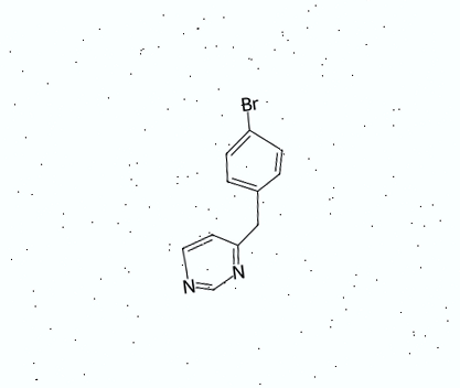 Brc1ccc(Cc2ccncn2)cc1